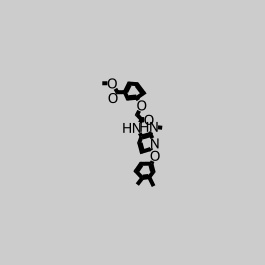 CNc1nc(Oc2ccc(C)c(C)c2)ccc1NC(=O)COc1cccc(C(=O)OC)c1